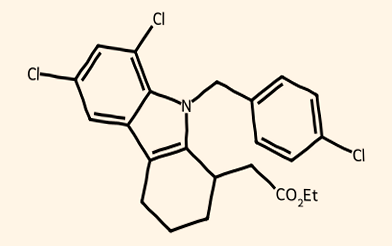 CCOC(=O)CC1CCCc2c1n(Cc1ccc(Cl)cc1)c1c(Cl)cc(Cl)cc21